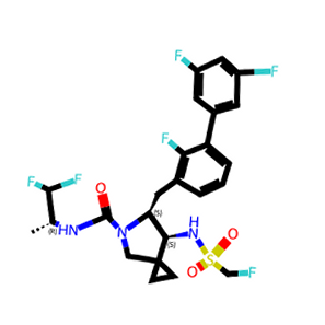 C[C@@H](NC(=O)N1CC2(CC2)[C@H](NS(=O)(=O)CF)[C@@H]1Cc1cccc(-c2cc(F)cc(F)c2)c1F)C(F)F